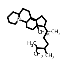 CC(C)C(C)CC[C@@H](C)C1CCC2=C3CCC4CCCCN4C3CCC21C